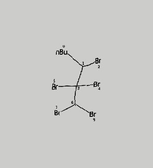 CCCCC(Br)C(Br)(Br)[C](Br)Br